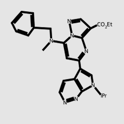 CCOC(=O)c1cnn2c(N(C)Cc3ccccc3)cc(-c3cn(C(C)C)c4nnccc34)nc12